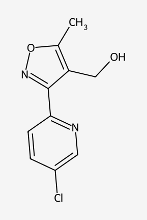 Cc1onc(-c2ccc(Cl)cn2)c1CO